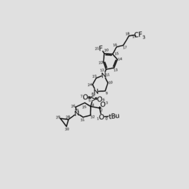 CC(C)(C)OC(=O)C1(S(=O)(=O)N2CCN(c3ccc(CCCC(F)(F)F)c(F)c3)CC2)CCN(C2CC2)CC1